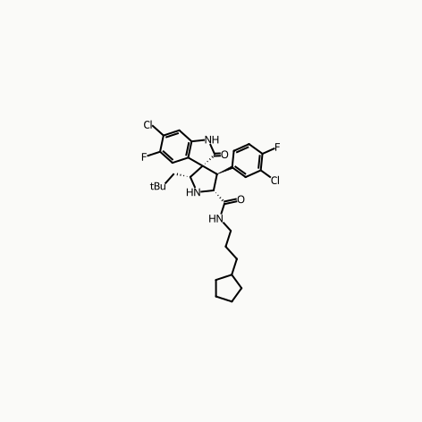 CC(C)(C)C[C@H]1N[C@@H](C(=O)NCCCC2CCCC2)[C@H](c2ccc(F)c(Cl)c2)[C@@]12C(=O)Nc1cc(Cl)c(F)cc12